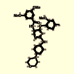 COc1cc(OC)cc(C(=O)Nc2cnc(Nc3ccc(N4CCOCC4)cc3)nc2Oc2ccc(C)cc2OC)c1